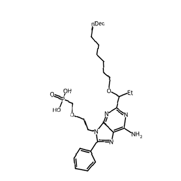 CCCCCCCCCCCCCCCCOC(CC)c1nc(N)c2nc(-c3ccccc3)n(CCOCP(=O)(O)O)c2n1